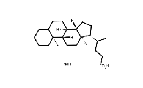 CC(CCC(=O)O)[C@H]1CC[C@H]2[C@@H]3CCC4CCCC[C@]4(C)[C@H]3CC[C@]12C.[NaH]